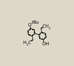 C=Cc1ccc(O)cc1-c1cc(OC(C)(C)C)ccc1C=C